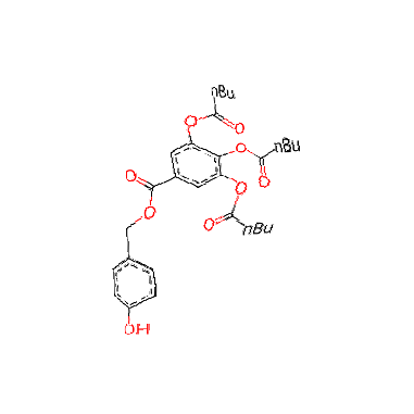 CCCCC(=O)Oc1cc(C(=O)OCc2ccc(O)cc2)cc(OC(=O)CCCC)c1OC(=O)CCCC